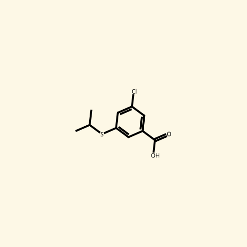 CC(C)Sc1cc(Cl)cc(C(=O)O)c1